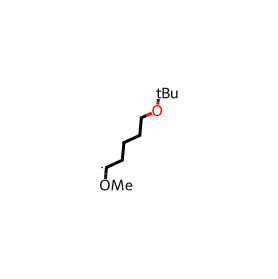 CO[CH]CCCCOC(C)(C)C